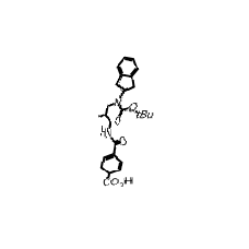 CC(CNC(=O)C1=CCC(C(=O)O)C=C1)CN(C(=O)OC(C)(C)C)C1Cc2ccccc2C1